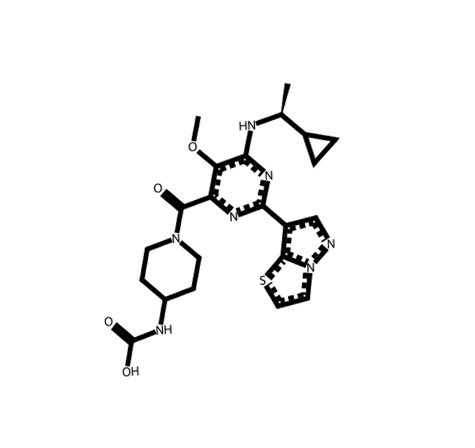 COc1c(N[C@@H](C)C2CC2)nc(-c2cnn3ccsc23)nc1C(=O)N1CCC(NC(=O)O)CC1